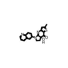 Cc1cc2c(s1)C(=O)[C@]1(O)CCN(c3ccc4ncccc4c3)C1=N2